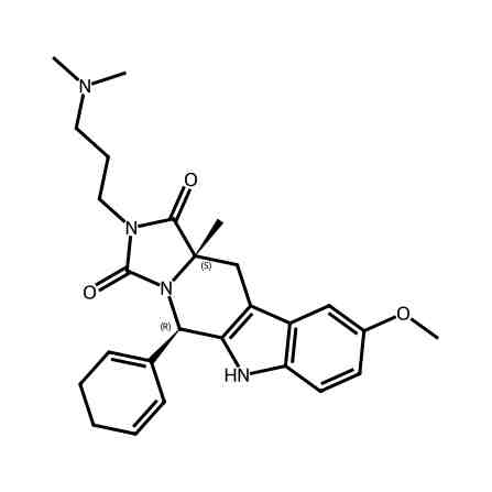 COc1ccc2[nH]c3c(c2c1)C[C@@]1(C)C(=O)N(CCCN(C)C)C(=O)N1[C@@H]3C1=CCCC=C1